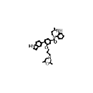 CC1CCN(C(=O)c2ccc(-c3ccc4[nH]ccc4c3)c(OCCCN3CC(C)OC(C)C3)c2)c2ccccc2N1